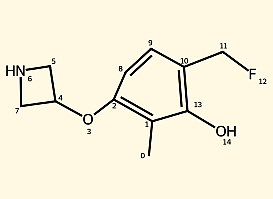 Cc1c(OC2CNC2)ccc(CF)c1O